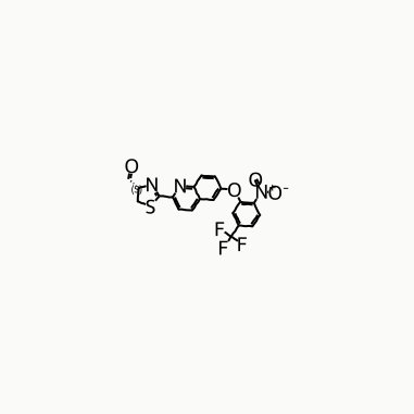 O=C[C@H]1CSC(c2ccc3cc(Oc4cc(C(F)(F)F)ccc4[N+](=O)[O-])ccc3n2)=N1